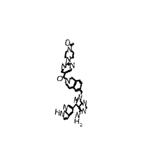 CC(=O)N1CCN(c2ncc(C(=O)N3CCc4cc(Cn5nc(-c6cnc7[nH]ccc7c6)c6c(N)ncnc65)ccc4C3)cn2)CC1